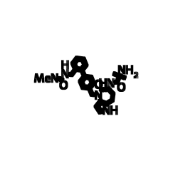 CNC(=O)NCc1ccccc1-c1ccc(CN2C(=O)[C@H](NC(=O)C(C)(C)N)CCc3[nH]ccc32)cc1